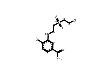 NC(=O)c1ccc(Cl)c(NCCS(=O)(=O)CCCl)c1